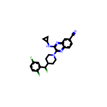 N#Cc1ccc2nc(N3CCC(C(F)c4cc(F)ccc4F)CC3)c(NC3CC3)nc2c1